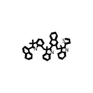 CC1(C)C(c2cccc3ccccc23)=Nc2c(CC3(C)C(c4cc5ccccc5cc4CC4(C)C(c5cccs5)=Nc5ccccc54)=Nc4ccccc43)cccc21